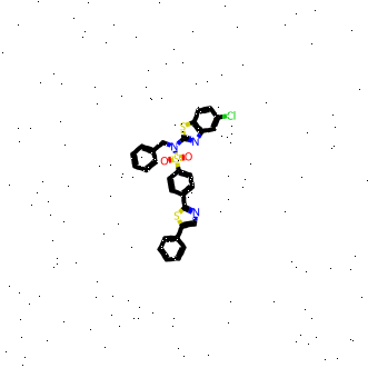 O=S(=O)(c1ccc(-c2ncc(-c3ccccc3)s2)cc1)N(Cc1ccccc1)c1nc2cc(Cl)ccc2s1